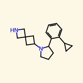 c1ccc(C2CCCN2C2CC3(CNC3)C2)c(C2CC2)c1